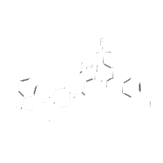 COc1ccc(-c2nc3c(C(=O)N4CCN([C@H](CO)c5ccccc5C(F)(F)F)C[C@H]4C)cnn3c(C(F)(F)F)c2C)cc1